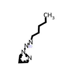 CCCCC/N=N/n1cccn1